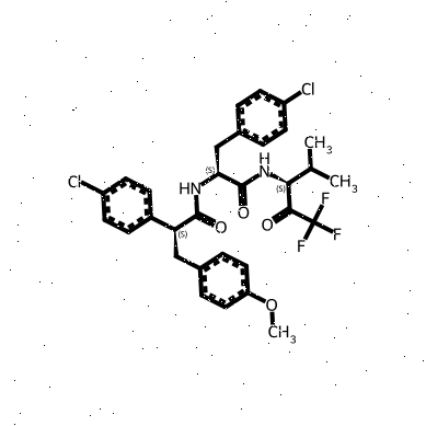 COc1ccc(C[C@H](C(=O)N[C@@H](Cc2ccc(Cl)cc2)C(=O)N[C@H](C(=O)C(F)(F)F)C(C)C)c2ccc(Cl)cc2)cc1